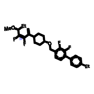 C=C(/C(F)=C(/F)C(CC)OC)C1CCC(OCc2ccc(-c3ccc(CC)cc3)c(F)c2F)CC1